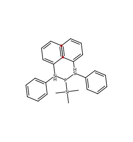 C[Si](C)(C)P([SiH](c1ccccc1)c1ccccc1)[SiH](c1ccccc1)c1ccccc1